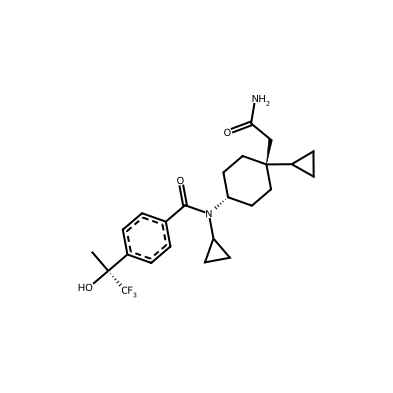 C[C@](O)(c1ccc(C(=O)N(C2CC2)[C@H]2CC[C@@](CC(N)=O)(C3CC3)CC2)cc1)C(F)(F)F